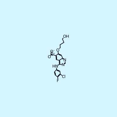 O=[N+]([O-])c1cc2c(Nc3ccc(F)c(Cl)c3)ncnc2cc1OCCCCO